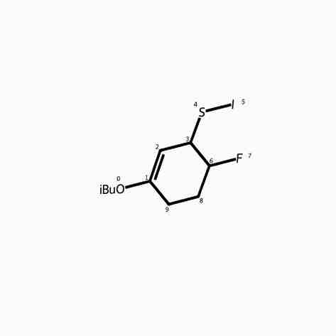 CC(C)COC1=CC(SI)C(F)CC1